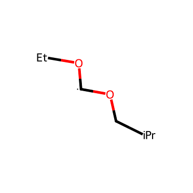 CCO[CH]OCC(C)C